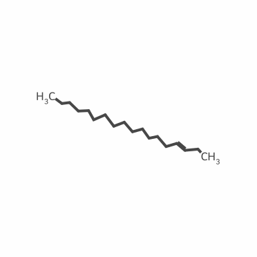 CC/C=C/CCCCCCCCCCCCCC